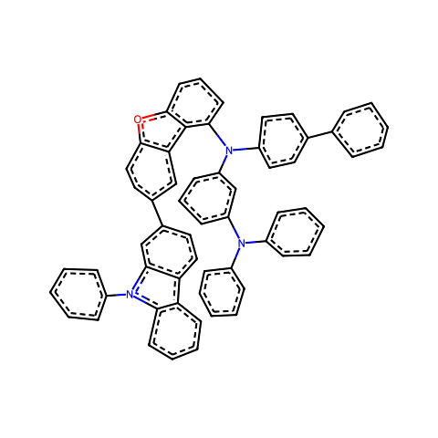 c1ccc(-c2ccc(N(c3cccc(N(c4ccccc4)c4ccccc4)c3)c3cccc4oc5ccc(-c6ccc7c8ccccc8n(-c8ccccc8)c7c6)cc5c34)cc2)cc1